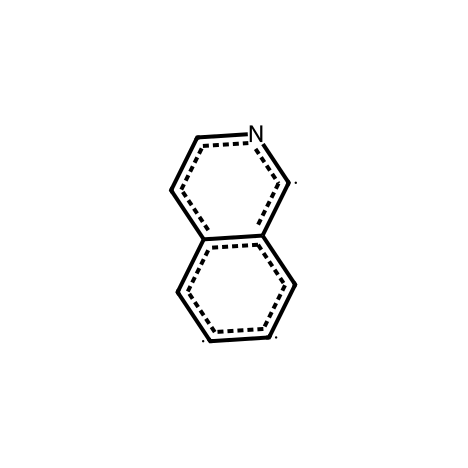 [c]1[c]cc2ccn[c]c2c1